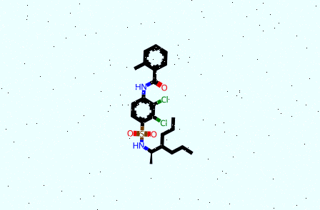 CCCC(CCC)[C@@H](C)NS(=O)(=O)c1ccc(NC(=O)c2ccccc2C)c(Cl)c1Cl